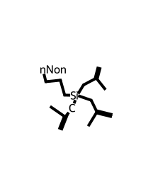 C=C(C)C[Si](CCCCCCCCCCCC)(CC(=C)C)CC(=C)C